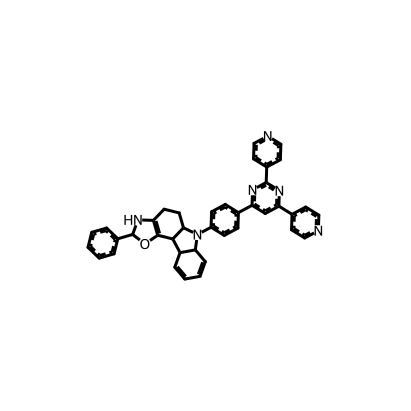 C1=CC2C3C4=C(CCC3N(c3ccc(-c5cc(-c6ccncc6)nc(-c6ccncc6)n5)cc3)C2C=C1)NC(c1ccccc1)O4